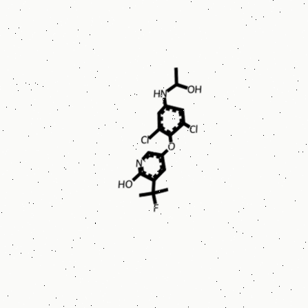 CC(O)Nc1cc(Cl)c(Oc2cnc(O)c(C(C)(C)F)c2)c(Cl)c1